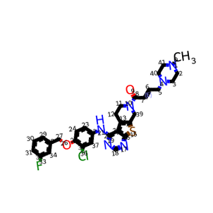 CN1CCN(C/C=C/C(=O)N2CCc3c(sc4ncnc(Nc5ccc(OCc6cccc(F)c6)c(Cl)c5)c34)C2)CC1